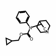 O=C(OCC1CC1)N(c1ccccc1)C1CN2CCC1CC2